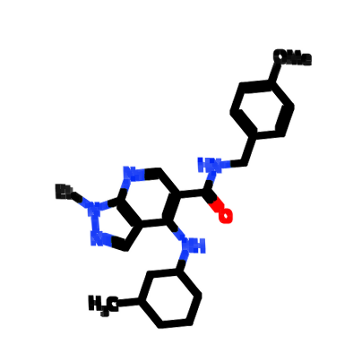 CCn1ncc2c(NC3CCCC(C)C3)c(C(=O)NCc3ccc(OC)cc3)cnc21